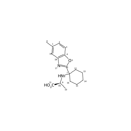 Cc1ccc2oc(C3(N[C@@H](C)C(=O)O)CCCCC3)nc2c1